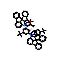 C[C@@H]1N(c2cccc3c2C2(c4ccccc4-c4ccccc42)c2ccccc2-3)c2cc(C(C)(C)C)cc3c2B(/C=C/C1(C)C)c1cc(C(C)(C)C)ccc1N3c1cccc2c1C1(c3ccccc3-c3ccccc31)c1ccccc1-2